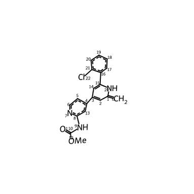 C=C1C=C(c2ccnc(NC(=O)OC)c2)C=C(c2ccccc2Cl)N1